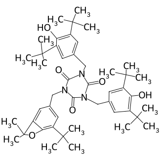 CC(C)(C)c1cc(Cn2c(=O)n(Cc3cc(C(C)(C)C)c(O)c(C(C)(C)C)c3)c(=O)n(Cc3cc(C(C)(C)C)c4c(c3)C(C)(C)O4)c2=O)cc(C(C)(C)C)c1O